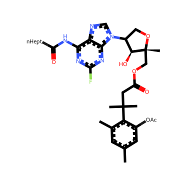 CCCCCCCC(=O)Nc1nc(F)nc2c1ncn2C1CO[C@](C)(COC(=O)CC(C)(C)c2c(C)cc(C)cc2OC(C)=O)[C@H]1O